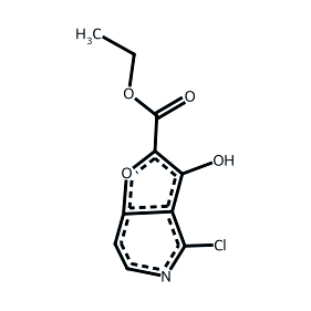 CCOC(=O)c1oc2ccnc(Cl)c2c1O